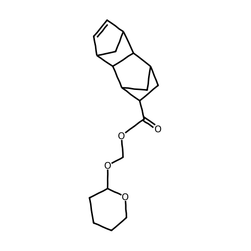 O=C(OCOC1CCCCO1)C1CC2CC1C1C3C=CC(C3)C21